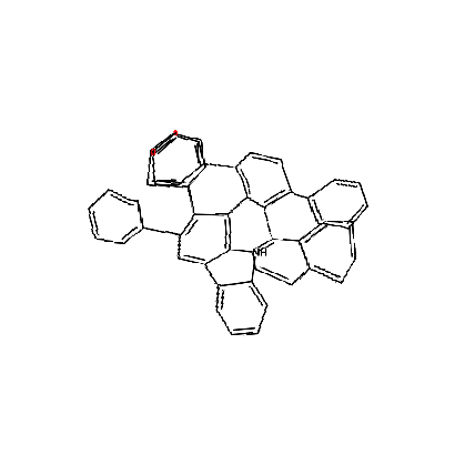 c1ccc(-c2ccc(-c3ccccc3)c(-c3c(-c4ccccc4)c(-c4ccccc4)cc4c3[nH]c3ccccc34)c2-c2cccc3ccccc23)cc1